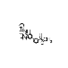 CC(=O)Nc1cccc(-c2ccc3c(NC(=O)N4CCCCC4)n[nH]c3c2)c1